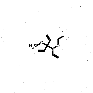 C=CC(OCC)C(C=C)(C=C)O[SiH3]